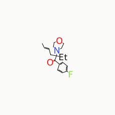 CC=CCC(CC)(C(=O)c1ccc(F)cc1)N1CCOCC1